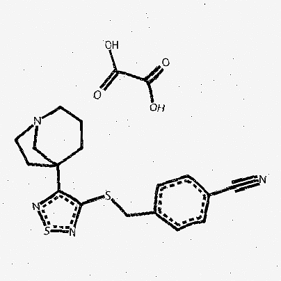 N#Cc1ccc(CSc2nsnc2C23CCCN(CC2)C3)cc1.O=C(O)C(=O)O